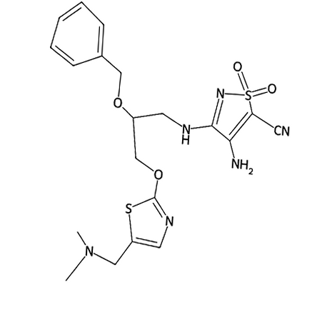 CN(C)Cc1cnc(OCC(CNC2=NS(=O)(=O)C(C#N)=C2N)OCc2ccccc2)s1